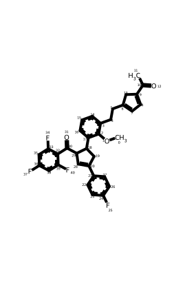 COc1c(CCC2=CC=C(C(C)=O)C2)cccc1C1CC(c2ccc(F)cc2)=CC1C(=O)c1c(F)cc(F)cc1F